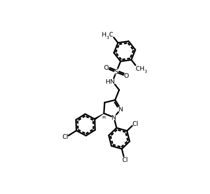 Cc1ccc(C)c(S(=O)(=O)NCC2=NN(c3ccc(Cl)cc3Cl)[C@@H](c3ccc(Cl)cc3)C2)c1